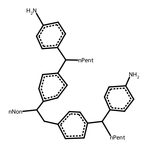 CCCCCCCCCC(Cc1ccc(C(CCCCC)c2ccc(N)cc2)cc1)c1ccc(C(CCCCC)c2ccc(N)cc2)cc1